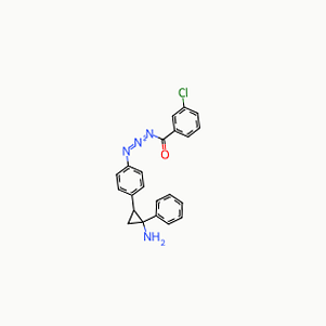 NC1(c2ccccc2)CC1c1ccc(N=[N+]=NC(=O)c2cccc(Cl)c2)cc1